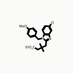 CCOC(=O)CC(C)(C)Cc1nc2cc(Cl)ccc2n1Cc1ccc(OC)cc1